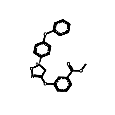 COC(=O)c1cccc(OC2=NO[C@H](c3ccc(Oc4ccccc4)cc3)C2)c1